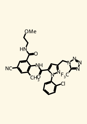 COCCNC(=O)c1cc(C#N)cc(C)c1NC(=O)c1cc(Cn2nnnc2C(F)(F)F)nn1-c1ccccc1Cl